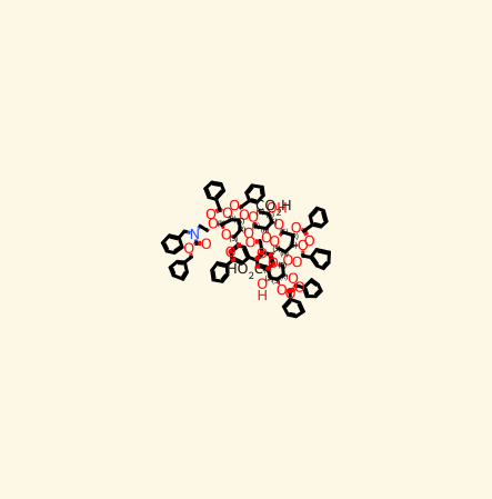 O=C(O[C@@H]1[C@@H](OC(=O)c2ccccc2)[C@H](O[C@H]2[C@H](O)[C@@H](C(=O)O)O[C@@H](O[C@H]3[C@H](OC(=O)c4ccccc4)[C@@H](OC(=O)c4ccccc4)[C@H](OCCN(Cc4ccccc4)C(=O)OCc4ccccc4)O[C@H]3COCc3ccccc3)[C@@H]2OC(=O)c2ccccc2)O[C@@H](COCc2ccccc2)[C@H]1O[C@@H]1O[C@H](C(=O)O)[C@@H](O)[C@H](OC(=O)c2ccccc2)[C@H]1OC(=O)c1ccccc1)c1ccccc1